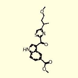 COCCC(C)c1csc(C(=O)c2c[nH]c3ccc(C(=O)OC)cc23)n1